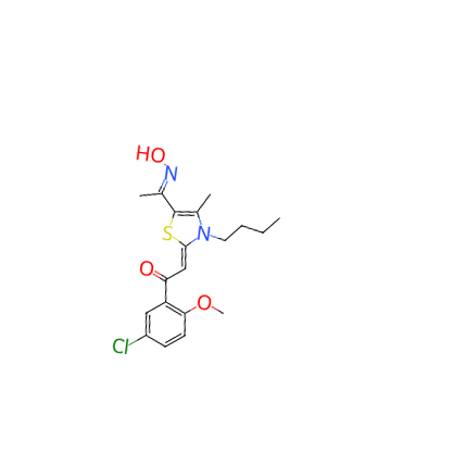 CCCCN1C(C)=C(/C(C)=N/O)S/C1=C\C(=O)c1cc(Cl)ccc1OC